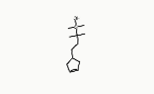 CC(C)(CCC1CC=CC1)[Si](C)(C)O